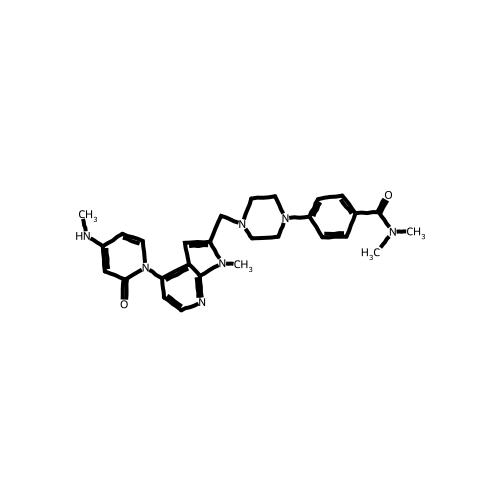 CNc1ccn(-c2ccnc3c2cc(CN2CCN(c4ccc(C(=O)N(C)C)cc4)CC2)n3C)c(=O)c1